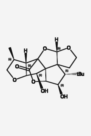 C[C@@H]1COC2[C@H]1C13O[C@@H]4OCCC45[C@H](C(C)(C)C)[C@@H](O)C(OC1=O)C35[C@H]2O